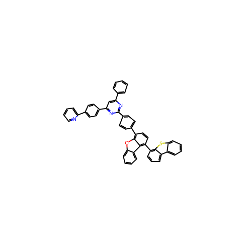 c1ccc(-c2cc(-c3ccc(-c4ccccn4)cc3)nc(-c3ccc(-c4ccc(-c5cccc6c5sc5ccccc56)c5c4oc4ccccc45)cc3)n2)cc1